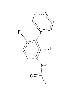 CC(=O)Nc1ccc(F)c(-c2ccncc2)c1F